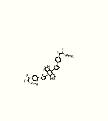 CCCCC/C(F)=C(/F)c1ccc(-c2ccc(-c3c4c(c(-c5ccc(-c6ccc(/C(F)=C(/F)CCCCC)cc6)s5)c5nsnc35)N=S=N4)s2)cc1